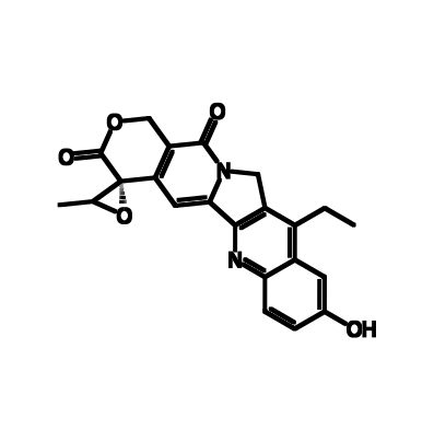 CCc1c2c(nc3ccc(O)cc13)-c1cc3c(c(=O)n1C2)COC(=O)[C@@]31OC1C